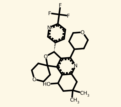 CC1(C)Cc2nc(C3CCOCC3)c3c(c2C(O)C1)C1(CCOCC1)O[C@@H]3c1ccc(C(F)(F)F)nc1